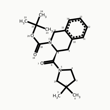 CC1(C)CCN(C(=O)[C@@H]2Cc3ccccc3CN2C(=O)OC(C)(C)C)C1